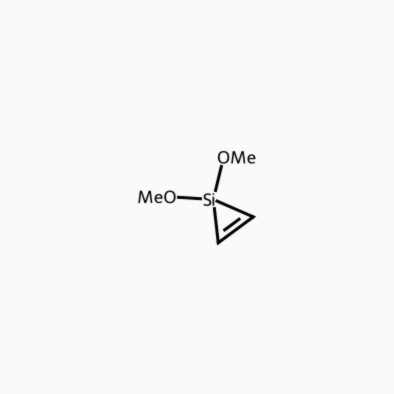 CO[Si]1(OC)C=C1